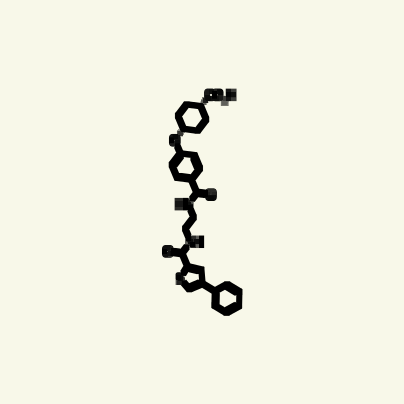 O=C(NCCNC(=O)c1cc(-c2ccccc2)cs1)c1ccc(O[C@H]2CC[C@@H](C(=O)O)CC2)cc1